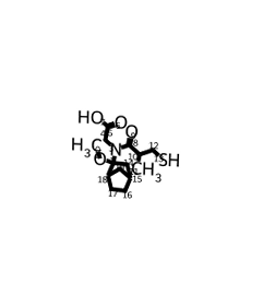 COC1(N(CC(=O)O)C(=O)C(C)CS)CC2CCC1C2